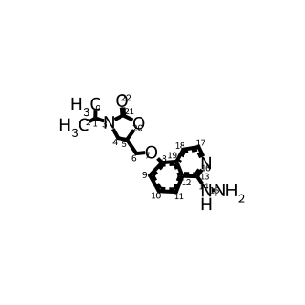 CC(C)N1CC(COc2cccc3c(NN)nccc23)OC1=O